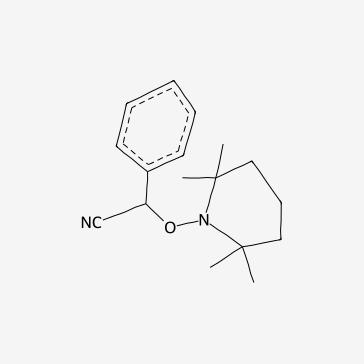 CC1(C)CCCC(C)(C)N1OC(C#N)c1ccccc1